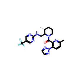 Cc1ccc(-n2nccn2)c(C(=O)N2CCC[C@@H](C)C2CNc2ncc(C(F)(F)F)cn2)n1